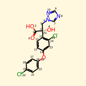 O=C(O)[C@@](O)(Cn1cncn1)c1ccc(Oc2ccc(Cl)cc2)cc1Cl